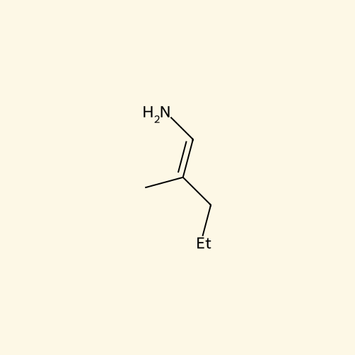 CCC/C(C)=C/N